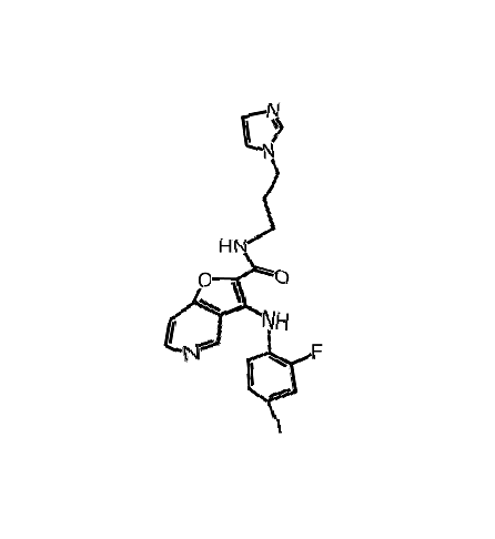 O=C(NCCCn1ccnc1)c1oc2ccncc2c1Nc1ccc(I)cc1F